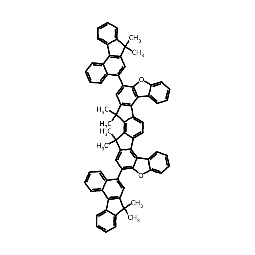 CC1(C)c2ccccc2-c2c1cc(-c1cc3c(c4c1oc1ccccc14)-c1ccc4c(c1C3(C)C)C(C)(C)c1cc(-c3cc5c(c6ccccc36)-c3ccccc3C5(C)C)c3oc5ccccc5c3c1-4)c1ccccc21